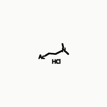 CC(=O)CCN(C)C.Cl